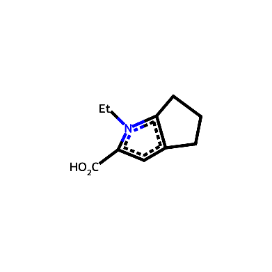 CCn1c(C(=O)O)cc2c1CCC2